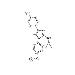 Cc1ccc(-c2nc(NC3CC3)n(-c3ccc(OC(F)(F)F)cc3)n2)cc1